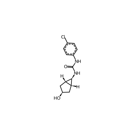 O=C(Nc1ccc(Cl)cc1)N[C@H]1[C@@H]2C[C@@H](O)C[C@@H]21